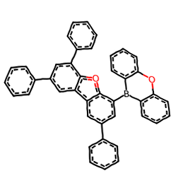 c1ccc(-c2cc(B3c4ccccc4Oc4ccccc43)c3oc4c(-c5ccccc5)cc(-c5ccccc5)cc4c3c2)cc1